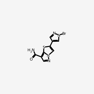 NC(=O)c1cnn2cc(-c3cnn(Br)c3)sc12